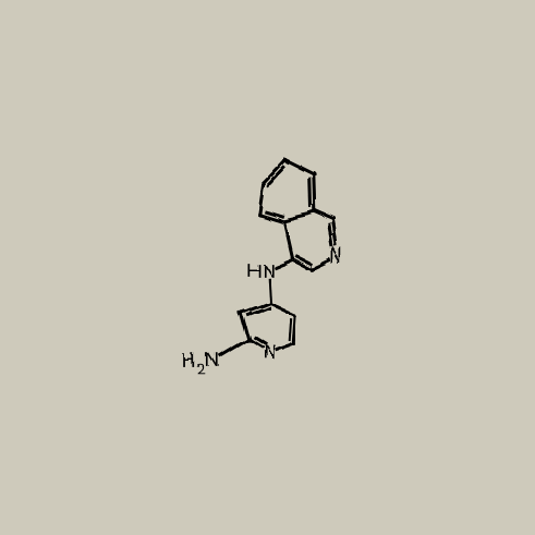 Nc1cc(Nc2cncc3ccccc23)ccn1